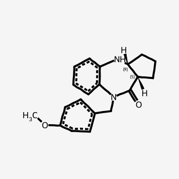 COc1ccc(CN2C(=O)[C@H]3CCC[C@H]3Nc3ccccc32)cc1